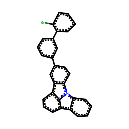 Brc1ccccc1-c1cccc(-c2ccc3c(c2)c2cccc4c5ccccc5n3c42)c1